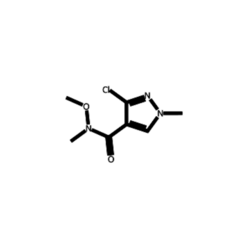 CON(C)C(=O)c1cn(C)nc1Cl